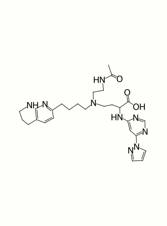 CC(=O)NCCN(CCCCc1ccc2c(n1)NCCC2)CCC(Nc1cc(-n2cccn2)ncn1)C(=O)O